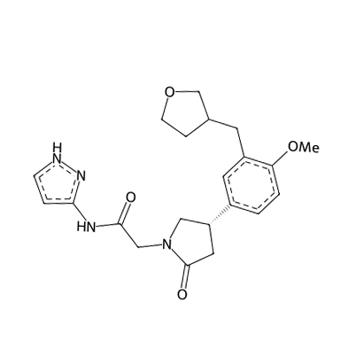 COc1ccc([C@@H]2CC(=O)N(CC(=O)Nc3cc[nH]n3)C2)cc1CC1CCOC1